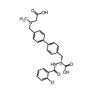 CN(CC(=O)O)Cc1ccc(-c2ccc(C[C@H](NC(=O)c3ccccc3Cl)C(=O)O)cc2)cc1